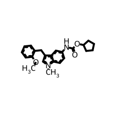 COc1ccccc1Cc1cn(C)c2ccc(NC(=O)OC3CCCC3)cc12